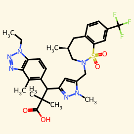 CCn1nnc2c(C)c(C(c3cc(CN4C[C@@H](C)Cc5ccc(C(F)(F)F)cc5S4(=O)=O)n(C)n3)C(C)(C)C(=O)O)ccc21